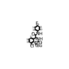 CC(C)(C)OC(=O)NC(C(=O)Nc1ccc(F)cc1)c1cccc(Cl)c1